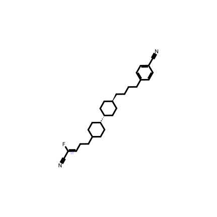 N#C/C(F)=C/CCC1CCC([C@H]2CC[C@H](CCCCc3ccc(C#N)cc3)CC2)CC1